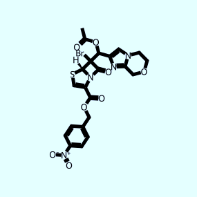 CC(=O)OC(c1cn2c(n1)COCC2)C1(Br)C(=O)N2C(C(=O)OCc3ccc([N+](=O)[O-])cc3)=CS[C@@H]21